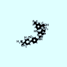 COc1cc(Nc2nc(Nc3cc(C(C)(C)O)cc(C(F)(F)F)c3)c3c(C)csc3n2)ccc1N1CCC(N(C)C)CC1